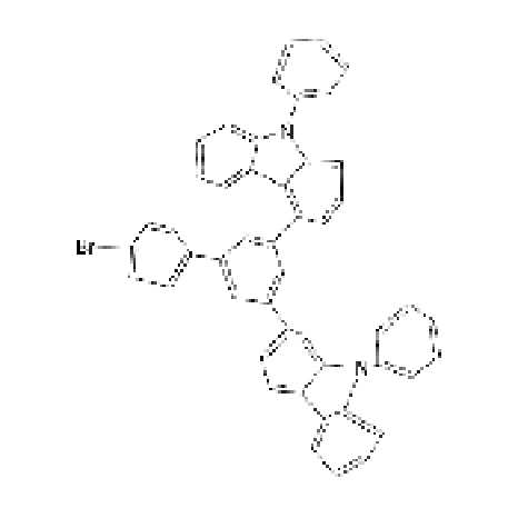 Brc1ccc(-c2cc(-c3ccc4c5ccccc5n(-c5ccccc5)c4c3)cc(-c3cccc4c3c3ccccc3n4-c3ccccc3)c2)cc1